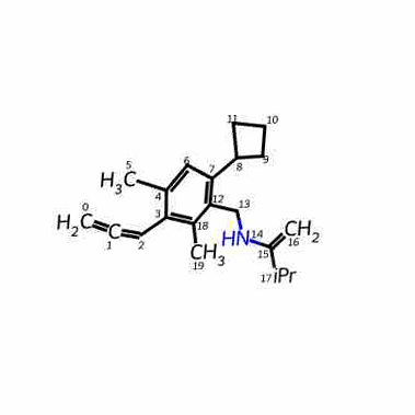 C=C=Cc1c(C)cc(C2CCC2)c(CNC(=C)C(C)C)c1C